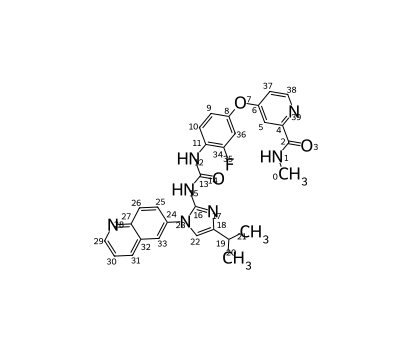 CNC(=O)c1cc(Oc2ccc(NC(=O)Nc3nc(C(C)C)cn3-c3ccc4ncccc4c3)c(F)c2)ccn1